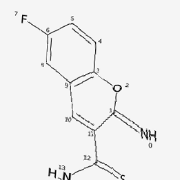 N=c1oc2ccc(F)cc2cc1C(N)=S